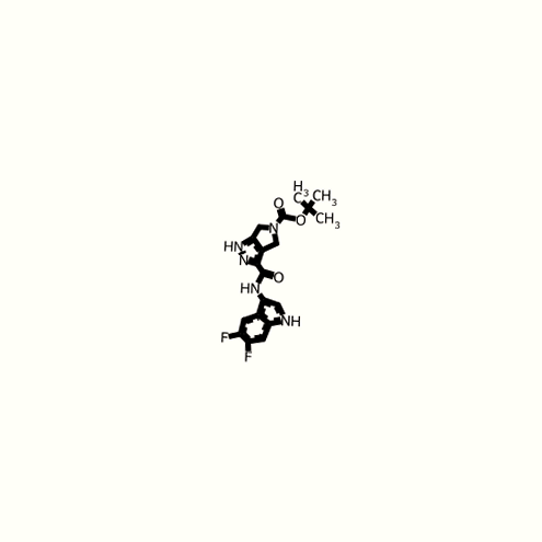 CC(C)(C)OC(=O)N1Cc2[nH]nc(C(=O)Nc3c[nH]c4cc(F)c(F)cc34)c2C1